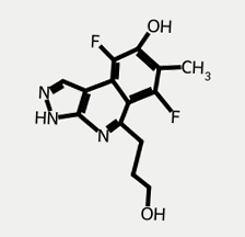 Cc1c(O)c(F)c2c(c(CCCO)nc3[nH]ncc32)c1F